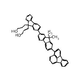 CC1(C)c2cc(-c3ccc4c(c3)C(CCCO)(CCCO)c3ccccc3-4)ccc2-c2ccc(-c3ccc4c5c(cccc35)-c3ccccc3-4)cc21